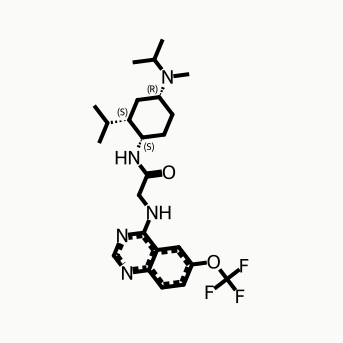 CC(C)[C@@H]1C[C@H](N(C)C(C)C)CC[C@@H]1NC(=O)CNc1ncnc2ccc(OC(F)(F)F)cc12